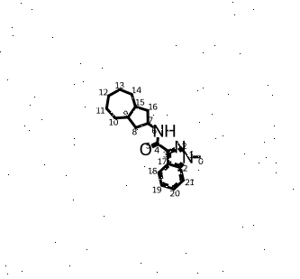 Cn1nc(C(=O)NC2CC3CCCCCC3C2)c2ccccc21